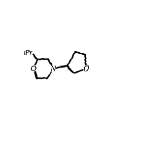 CC(C)C1CN(C2CCOC2)CCO1